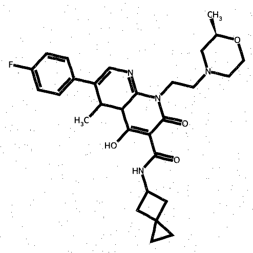 CC1C(c2ccc(F)cc2)=CN=C2C1C(O)=C(C(=O)NC1CC3(CC3)C1)C(=O)N2CCN1CCO[C@H](C)C1